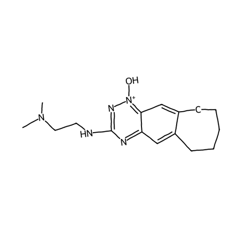 CN(C)CCNc1nc2cc3c(cc2[n+](O)n1)CCCCC3